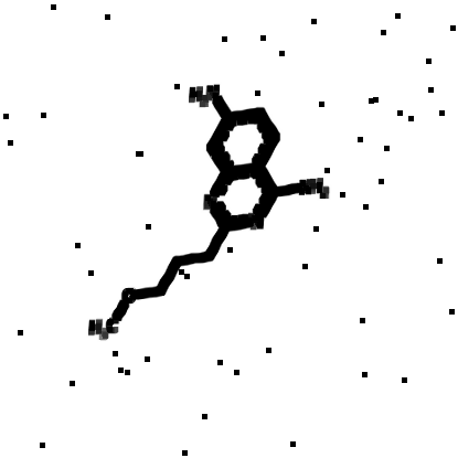 COCCCc1nc(N)c2ccc(N)cc2n1